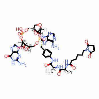 CC(C)[C@H](NC(=O)CCCCCN1C(=O)C=CC1=O)C(=O)N[C@@H](C)C(=O)Nc1ccc(CSP2(=O)OC[C@H]3O[C@@H](n4cnc5c(=O)[nH]c(N)nc54)[C@H](OP(=O)(O)OC[C@@]45CO[C@@H]([C@H](n6cnc7c(N)ncnc76)O4)[C@@H]5O2)[C@@H]3O)cc1